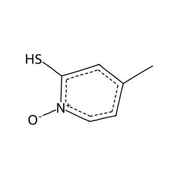 Cc1cc[n+]([O-])c(S)c1